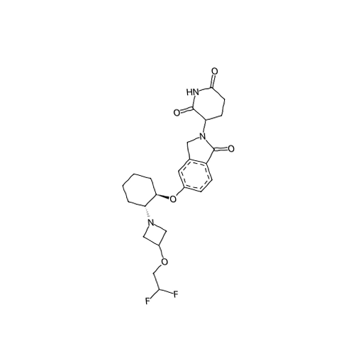 O=C1CCC(N2Cc3cc(O[C@@H]4CCCC[C@H]4N4CC(OCC(F)F)C4)ccc3C2=O)C(=O)N1